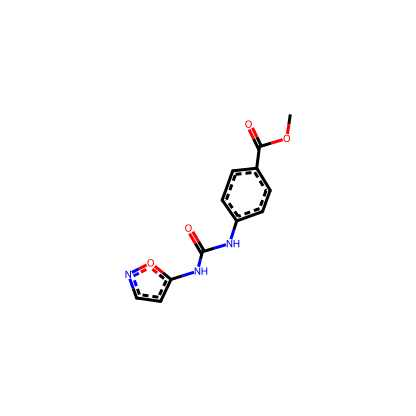 COC(=O)c1ccc(NC(=O)Nc2ccno2)cc1